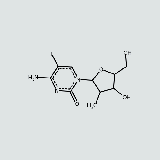 CC1C(O)C(CO)OC1n1cc(I)c(N)nc1=O